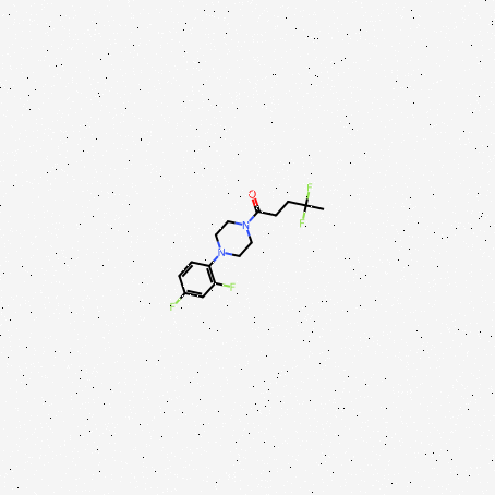 CC(F)(F)CCC(=O)N1CCN(c2ccc(F)cc2F)CC1